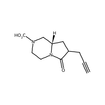 C#CCC1C[C@H]2CN(C(=O)O)CCN2C1=O